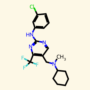 CN(Cc1cnc(Nc2cccc(Cl)c2)nc1C(F)(F)F)C1CCCCC1